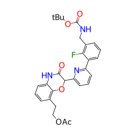 CC(=O)OCCc1cccc2c1OC(c1cccc(-c3cccc(CNC(=O)OC(C)(C)C)c3F)n1)C(=O)N2